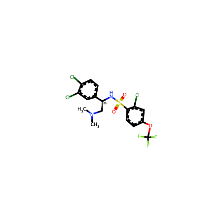 CN(C)C[C@H](NS(=O)(=O)c1ccc(OC(F)(F)F)cc1Cl)c1ccc(Cl)c(Cl)c1